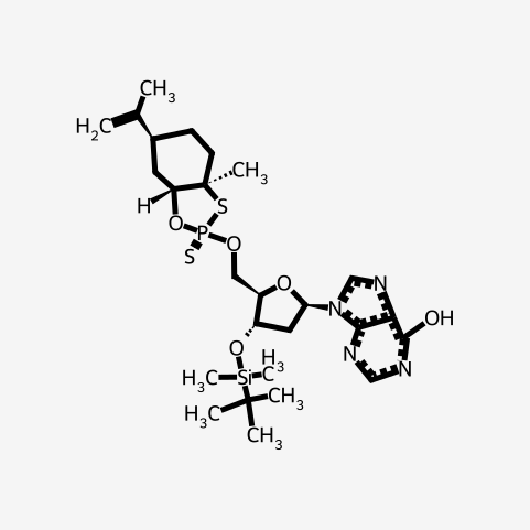 C=C(C)[C@H]1CC[C@@]2(C)SP(=S)(OC[C@H]3O[C@@H](n4cnc5c(O)ncnc54)C[C@@H]3O[Si](C)(C)C(C)(C)C)O[C@@H]2C1